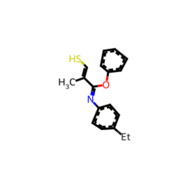 CCc1ccc(/N=C(Oc2ccccc2)/C(C)=C/S)cc1